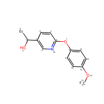 CCC(O)c1ccc(Oc2ccc(OC(F)(F)F)cc2)nc1